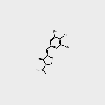 CCN(C)N1CS/C(=C\c2cc(C(C)(C)C)c(O)c(C(C)(C)C)c2)C1=O